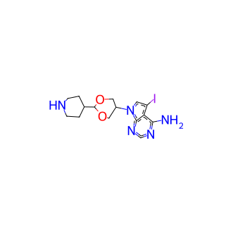 Nc1ncnc2c1c(I)cn2C1COC(C2CCNCC2)OC1